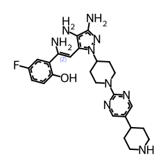 N/C(=C\c1c(N)c(N)nn1C1CCN(c2ncc(C3CCNCC3)cn2)CC1)c1cc(F)ccc1O